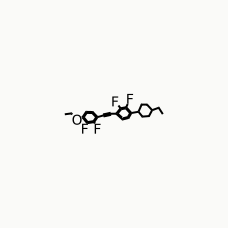 CCOc1ccc(C#Cc2ccc(C3CCC(CC)CC3)c(F)c2F)c(F)c1F